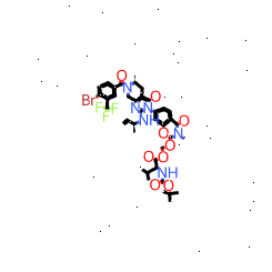 C=C[C@H](C)Nc1nc2c(c(=O)n1-c1ccc(C(=O)N(C)C(=O)OCOC(=O)[C@@H](NC(=O)OC(C)(C)C)C(C)C)cc1)C[C@@H](C)N(C(=O)c1ccc(Br)c(C(F)(F)F)c1)C2